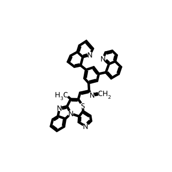 C=N/C(=C\C1=C(C)c2nc3ccccc3n2-c2cnccc2S1)c1cc(-c2cccc3cccnc23)cc(-c2cccc3cccnc23)c1